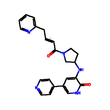 O=C(/C=C/Cc1ccccn1)N1CCC(Nc2cc(-c3ccncc3)c[nH]c2=O)C1